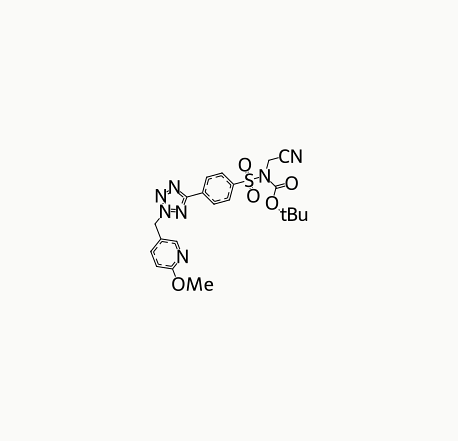 COc1ccc(Cn2nnc(-c3ccc(S(=O)(=O)N(CC#N)C(=O)OC(C)(C)C)cc3)n2)cn1